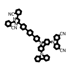 N#Cc1ccc2c(c1)c1cc(C#N)ccc1n2-c1ccc2c(c1)c1cc(-n3c4ccccc4c4ccccc43)ccc1n2-c1ccc(-c2ccc(-c3ccc(-c4cc(-c5ccccc5C#N)nc(-c5ccccc5C#N)n4)cc3)cc2)cc1